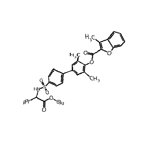 Cc1cc(-c2ccc(S(=O)(=O)NC(C(=O)OC(C)(C)C)C(C)C)cc2)cc(C)c1OC(=O)c1oc2ccccc2c1C